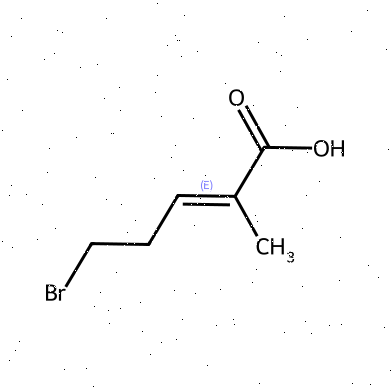 C/C(=C\CCBr)C(=O)O